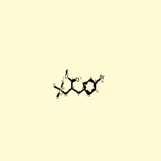 COC(=O)C(Cc1ccc(Br)cc1)C[N+](C)(C)C